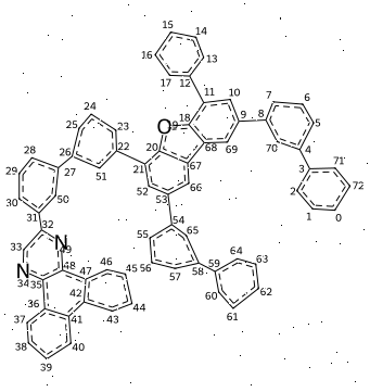 c1ccc(-c2cccc(-c3cc(-c4ccccc4)c4oc5c(-c6cccc(-c7cccc(-c8cnc9c%10ccccc%10c%10ccccc%10c9n8)c7)c6)cc(-c6cccc(-c7ccccc7)c6)cc5c4c3)c2)cc1